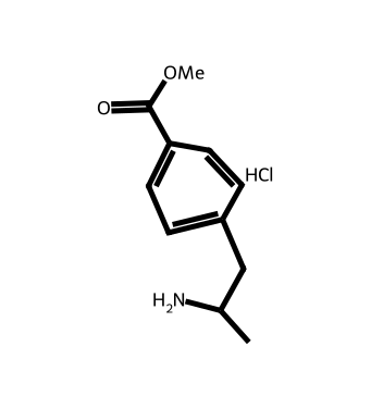 COC(=O)c1ccc(CC(C)N)cc1.Cl